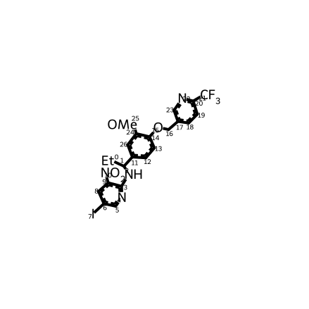 CCC(Nc1ncc(I)cc1[N+](=O)[O-])c1ccc(OCc2ccc(C(F)(F)F)nc2)c(OC)c1